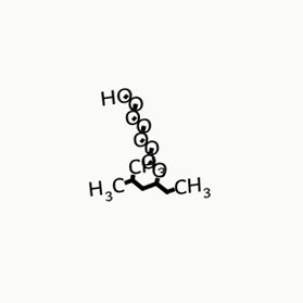 CCC(CC(C)C)OOOOOOOO